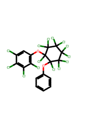 Clc1cc(OC2(Cl)C(Cl)(Cl)C(Cl)(Cl)C(Cl)(Cl)C(Cl)(Cl)C2(Cl)Oc2ccccc2)c(Cl)c(Cl)c1Cl